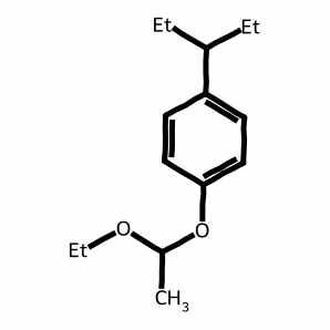 CCOC(C)Oc1ccc(C(CC)CC)cc1